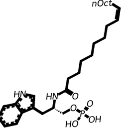 CCCCCCCC/C=C\CCCCCCCC(=O)N[C@H](COP(=O)(O)O)Cc1c[nH]c2ccccc12